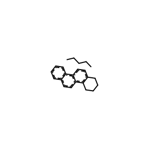 CCCCC.c1ccc2c(c1)ccc1c3c(ccc12)CCCC3